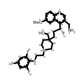 COc1ccc2ncc(CN)c([C@H](F)CCC3(CO)CCN(CCSc4c(F)cc(F)cc4F)CC3)c2c1